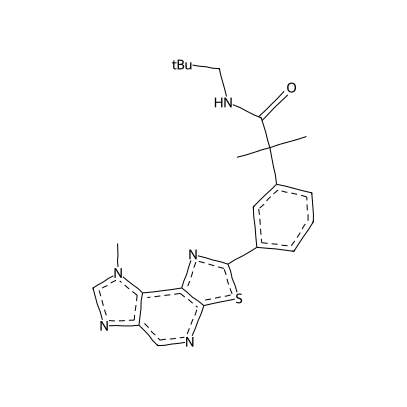 Cn1cnc2cnc3sc(-c4cccc(C(C)(C)C(=O)NCC(C)(C)C)c4)nc3c21